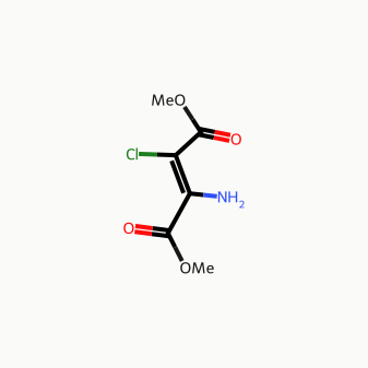 COC(=O)C(N)=C(Cl)C(=O)OC